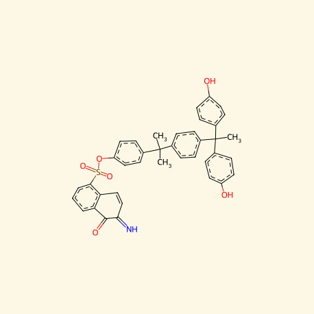 CC(C)(c1ccc(OS(=O)(=O)c2cccc3c2C=CC(=N)C3=O)cc1)c1ccc(C(C)(c2ccc(O)cc2)c2ccc(O)cc2)cc1